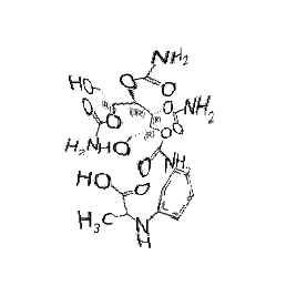 CC(Nc1ccccc1)C(=O)O.NC(=O)O[C@@H]([C@H](OC(N)=O)[C@@H](CO)OC(N)=O)[C@@H](CO)OC(N)=O